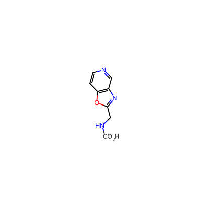 O=C(O)NCc1nc2cnccc2o1